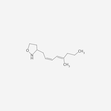 CCC/C(C)=C/C=C\CC1CCON1